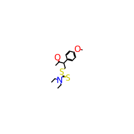 CCN(CC)C(=S)SCC(C(C)=O)c1ccc(OC)cc1